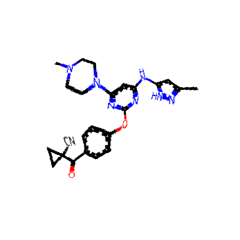 Cc1cc(Nc2cc(N3CCN(C)CC3)nc(Oc3ccc(C(=O)C4(C#N)CC4)cc3)n2)[nH]n1